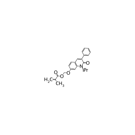 C=C(C)C(=O)OCOc1ccc2cc(-c3ccccc3)c(=O)n(C(C)C)c2c1